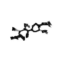 COC(=O)[C@H](C(C)C)N(C)C(=O)N1CCN(C(=O)O)[C@H](C)C1